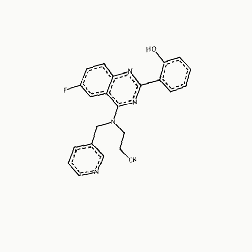 N#CCCN(Cc1cccnc1)c1nc(-c2ccccc2O)nc2ccc(F)cc12